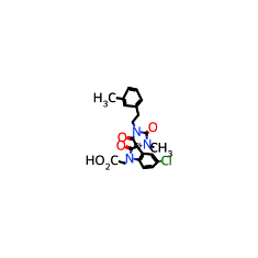 Cc1cccc(CCN2C(=O)N(C)[C@@]3(C2=O)C(=O)N(CC(=O)O)c2ccc(Cl)cc23)c1